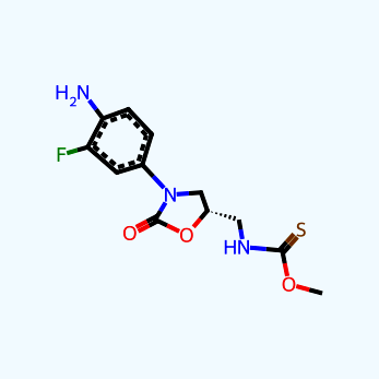 COC(=S)NC[C@H]1CN(c2ccc(N)c(F)c2)C(=O)O1